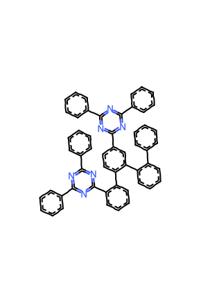 c1ccc(-c2nc(-c3ccccc3)nc(-c3ccc(-c4ccccc4-c4nc(-c5ccccc5)nc(-c5ccccc5)n4)c(-c4ccccc4-c4ccccc4)c3)n2)cc1